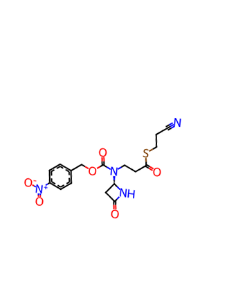 N#CCCSC(=O)CCN(C(=O)OCc1ccc([N+](=O)[O-])cc1)[C@@H]1CC(=O)N1